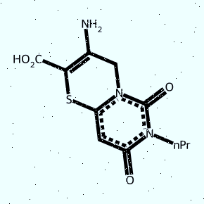 CCCn1c(=O)cc2n(c1=O)CC(N)=C(C(=O)O)S2